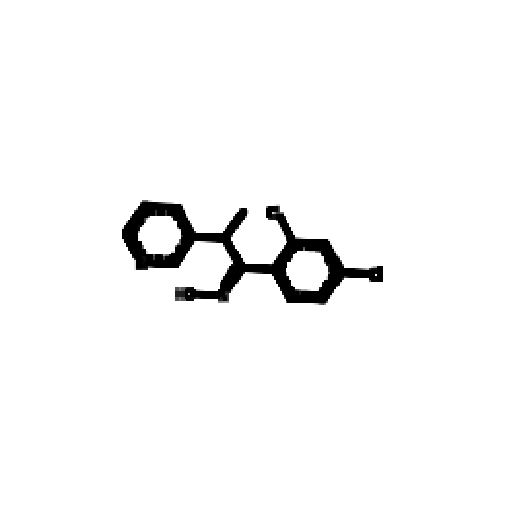 CC(C(=NO)c1ccc(Cl)cc1Cl)c1cccnc1